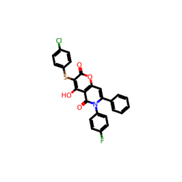 O=c1oc2cc(-c3ccccc3)n(-c3ccc(F)cc3)c(=O)c2c(O)c1Sc1ccc(Cl)cc1